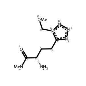 CNC(=O)[C@@H](N)CCc1nnnn1COC